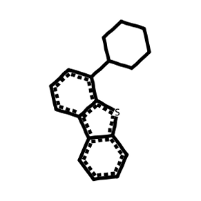 c1ccc2c(c1)sc1c(C3CCCCC3)cccc12